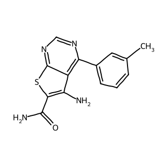 Cc1cccc(-c2ncnc3sc(C(N)=O)c(N)c23)c1